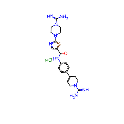 Cl.N=C(N)N1CC=C(c2ccc(NC(=O)c3cnc(N4CCN(C(=N)N)CC4)s3)cc2)CC1